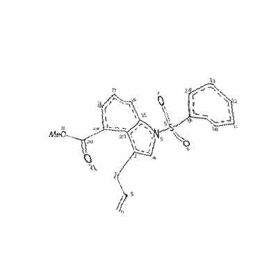 C=CCc1cn(S(=O)(=O)c2ccccc2)c2cccc(C(=O)OC)c12